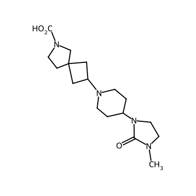 CN1CCN(C2CCN(C3CC4(CCN(C(=O)O)C4)C3)CC2)C1=O